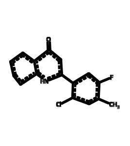 Cc1cc(Cl)c(-c2cc(=O)c3ccccc3[nH]2)cc1F